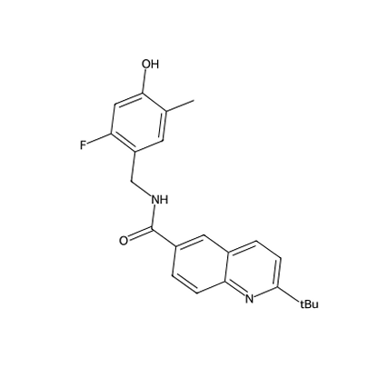 Cc1cc(CNC(=O)c2ccc3nc(C(C)(C)C)ccc3c2)c(F)cc1O